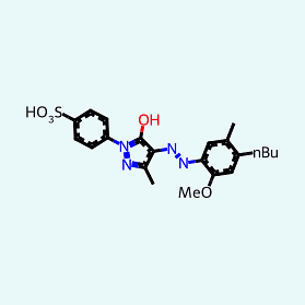 CCCCc1cc(OC)c(N=Nc2c(C)nn(-c3ccc(S(=O)(=O)O)cc3)c2O)cc1C